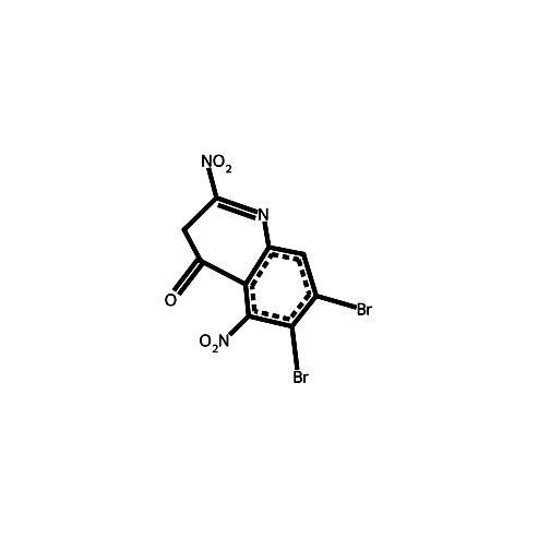 O=C1CC([N+](=O)[O-])=Nc2cc(Br)c(Br)c([N+](=O)[O-])c21